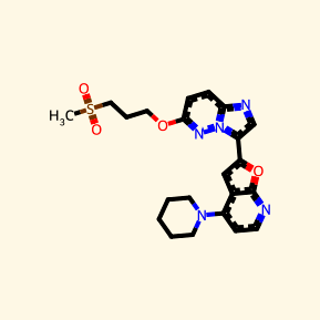 CS(=O)(=O)CCCOc1ccc2ncc(-c3cc4c(N5CCCCC5)ccnc4o3)n2n1